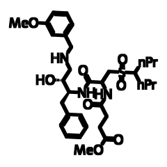 CCCC(CCC)S(=O)(=O)CC(NC(=O)CCC(=O)OC)C(=O)N[C@@H](Cc1ccccc1)[C@H](O)CNCc1cccc(OC)c1